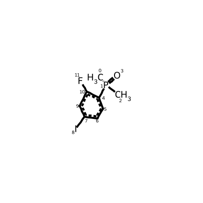 CP(C)(=O)c1ccc(I)cc1F